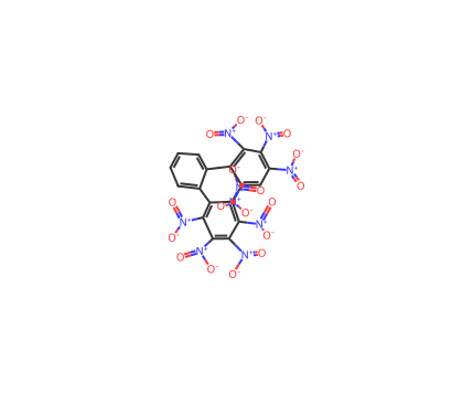 O=[N+]([O-])c1cc([N+](=O)[O-])c([N+](=O)[O-])c([N+](=O)[O-])c1-c1ccccc1-c1c([N+](=O)[O-])c([N+](=O)[O-])c([N+](=O)[O-])c([N+](=O)[O-])c1[N+](=O)[O-]